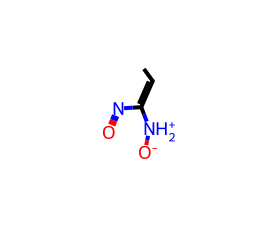 C/C=C(\N=O)[NH2+][O-]